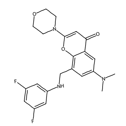 CN(C)c1cc(CNc2cc(F)cc(F)c2)c2oc(N3CCOCC3)cc(=O)c2c1